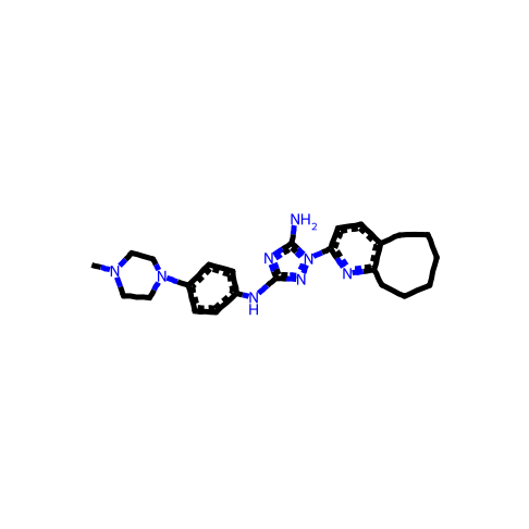 CN1CCN(c2ccc(Nc3nc(N)n(-c4ccc5c(n4)CCCCCC5)n3)cc2)CC1